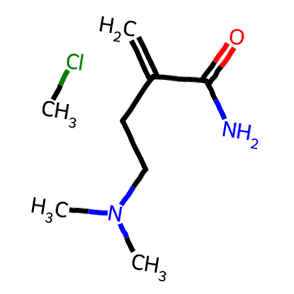 C=C(CCN(C)C)C(N)=O.CCl